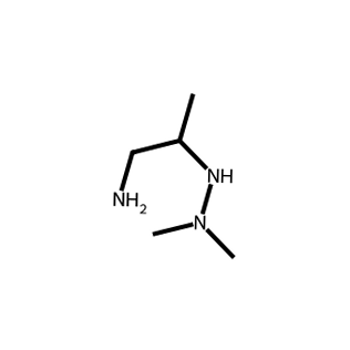 CC(CN)NN(C)C